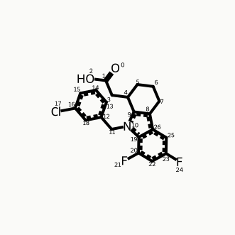 O=C(O)CC1CCCc2c1n(Cc1cccc(Cl)c1)c1c(F)cc(F)cc21